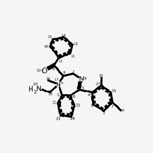 Cc1ccc(C2=NCC(C(=O)c3ccccc3)[N+](C)(CN)c3ccccc32)c(C)c1